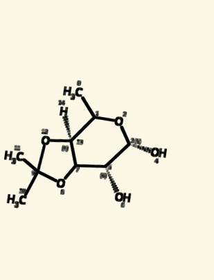 CC1O[C@H](O)[C@H](O)C2OC(C)(C)O[C@@H]12